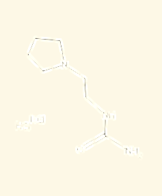 Cl.Cl.NC(=O)NCCN1CCCC1